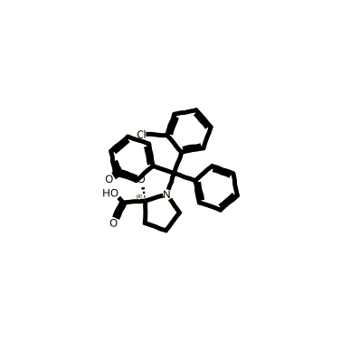 CC(=O)O[C@@]1(C(=O)O)CCCN1C(c1ccccc1)(c1ccccc1)c1ccccc1Cl